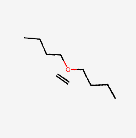 C=C.CCCCOCCCC